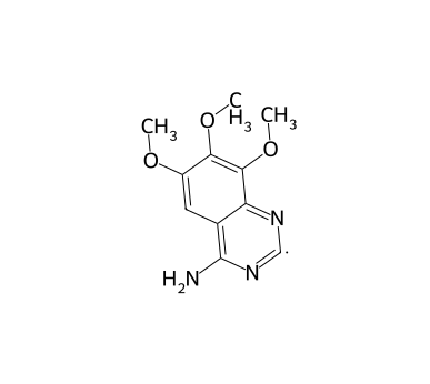 COc1cc2c(N)n[c]nc2c(OC)c1OC